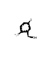 Bc1ccc(Cl)cc1CO